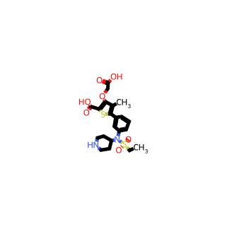 CCS(=O)(=O)N(c1cccc(-c2sc(C(=O)O)c(OCC(=O)O)c2C)c1)C1CCNCC1